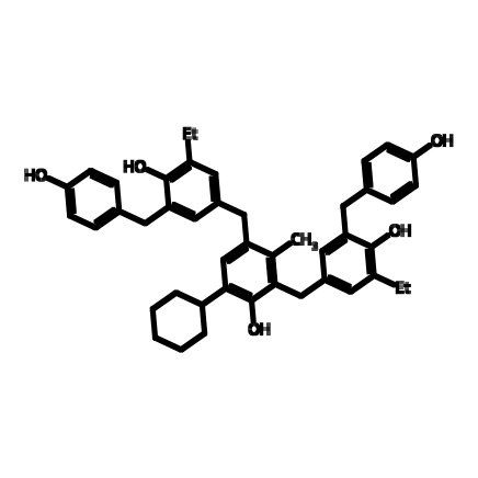 CCc1cc(Cc2cc(C3CCCCC3)c(O)c(Cc3cc(CC)c(O)c(Cc4ccc(O)cc4)c3)c2C)cc(Cc2ccc(O)cc2)c1O